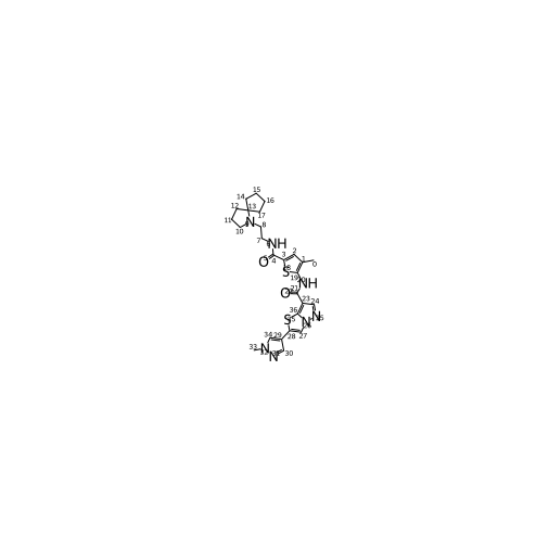 Cc1cc(C(=O)NCCN2CCCC23CCCC3)sc1NC(=O)c1cnn2cc(-c3cnn(C)c3)sc12